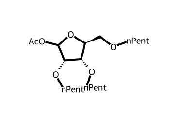 CCCCCOC[C@@H]1OC(OC(C)=O)[C@@H](OCCCCC)[C@H]1OCCCCC